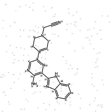 N#CCN1CC=C(c2cnc(N)c(-c3nc4ccccc4[nH]3)n2)CC1